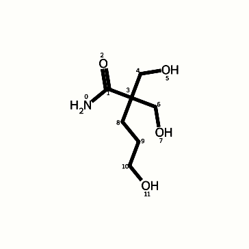 NC(=O)C(CO)(CO)CCCO